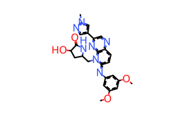 COc1cc(/N=c2\ccc3ncc(-c4cnn(C)c4)nc3n2CC2CC(O)C(=O)N2)cc(OC)c1